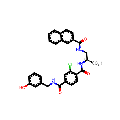 O=C(NCc1cccc(O)c1)c1ccc(C(=O)N[C@@H](CNC(=O)c2ccc3ccccc3c2)C(=O)O)c(Cl)c1